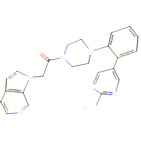 COc1ncc(-c2ccccc2N2CCN(C(=O)Cn3ccc4ccncc43)CC2)cn1